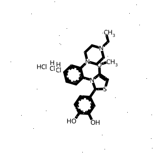 CCN1CCN(c2ccccc2N2C(OC)=CSC2c2ccc(O)c(O)c2)CC1.Cl.Cl.Cl